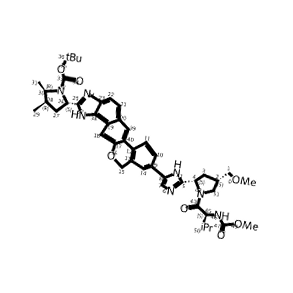 COC[C@H]1C[C@@H](c2ncc(-c3ccc4c(c3)COc3cc5c(ccc6nc([C@@H]7C[C@@H](C)[C@@H](C)N7C(=O)OC(C)(C)C)[nH]c65)cc3-4)[nH]2)N(C(=O)[C@@H](NC(=O)OC)C(C)C)C1